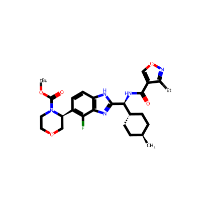 CCc1nocc1C(=O)N[C@H](c1nc2c(F)c([C@H]3COCCN3C(=O)OC(C)(C)C)ccc2[nH]1)[C@H]1CC[C@H](C)CC1